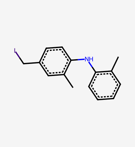 Cc1ccccc1Nc1ccc(CI)cc1C